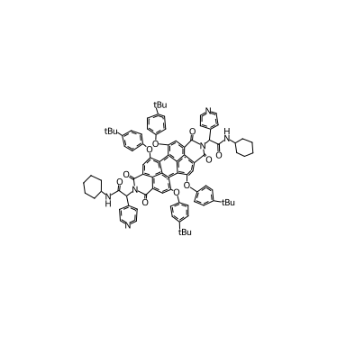 CC(C)(C)c1ccc(Oc2cc3c4c(cc(Oc5ccc(C(C)(C)C)cc5)c5c6c(Oc7ccc(C(C)(C)C)cc7)cc7c8c(cc(Oc9ccc(C(C)(C)C)cc9)c(c2c45)c86)C(=O)N(C(C(=O)NC2CCCCC2)c2ccncc2)C7=O)C(=O)N(C(C(=O)NC2CCCCC2)c2ccncc2)C3=O)cc1